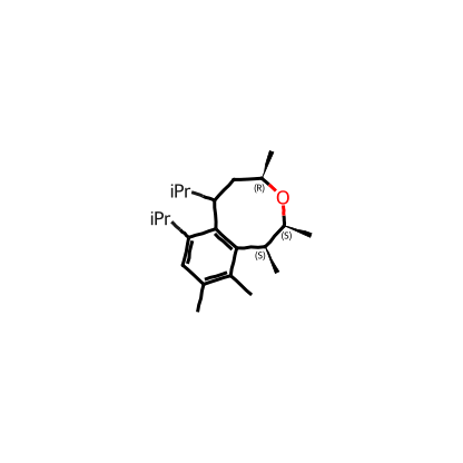 Cc1cc(C(C)C)c2c(c1C)[C@H](C)[C@H](C)O[C@H](C)CC2C(C)C